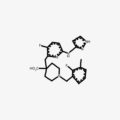 Cc1cccc(CN2CCC(Cc3nc(Nc4cc[nH]n4)ccc3F)(C(=O)O)CC2)c1F